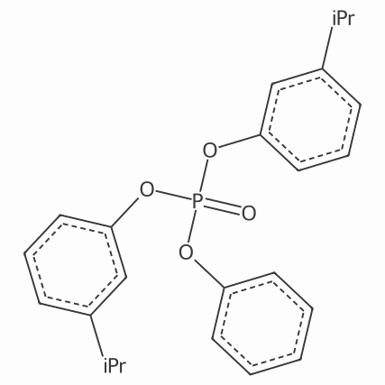 CC(C)c1cccc(OP(=O)(Oc2ccccc2)Oc2cccc(C(C)C)c2)c1